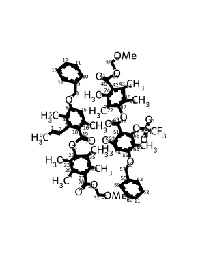 C/C=C/c1c(C)c(OCc2ccccc2)cc(C)c1C(=O)Oc1c(C)c(C)c(C(=O)OCOC)c(C)c1C.COCOC(=O)c1c(C)c(C)c(OC(=O)c2c(C)cc(OCc3ccccc3)c(C)c2OS(=O)(=O)C(F)(F)F)c(C)c1C